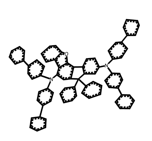 c1ccc(-c2ccc(N(c3ccc(-c4ccccc4)cc3)c3ccc4c(c3)C(c3ccccc3)(c3ccccc3)c3cc(N(c5ccc(-c6ccccc6)cc5)c5ccc(-c6ccccc6)cc5)c5c(oc6ccccc65)c3-4)cc2)cc1